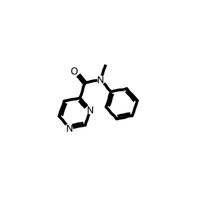 CN(C(=O)c1ccncn1)c1ccccc1